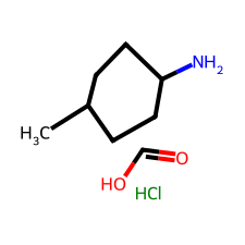 CC1CCC(N)CC1.Cl.O=CO